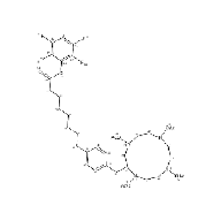 CC(=O)ON1CCN(OC(C)=O)CCN(OC(C)=O)C(Cc2ccc(SCCCCCCC(=O)Oc3c(F)c(F)cc(F)c3F)cc2)CN(OC(C)=O)CC1